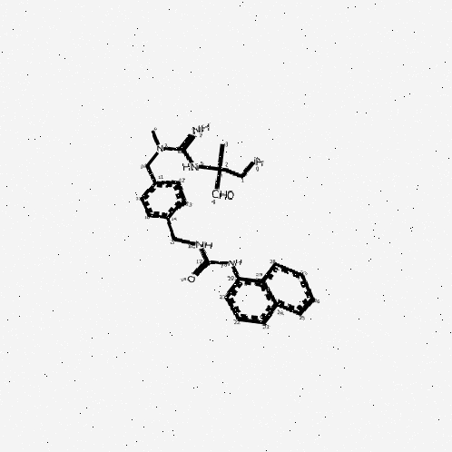 CC(C)CC(C)(C=O)NC(=N)N(C)Cc1ccc(CNC(=O)Nc2cccc3ccccc23)cc1